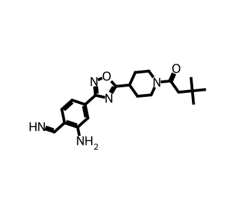 CC(C)(C)CC(=O)N1CCC(c2nc(-c3ccc(C=N)c(N)c3)no2)CC1